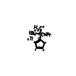 CC(C)[N+](C)(C1=CC=CC1)C(C)(C)C.[Ti]